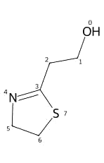 OCCC1=NCCS1